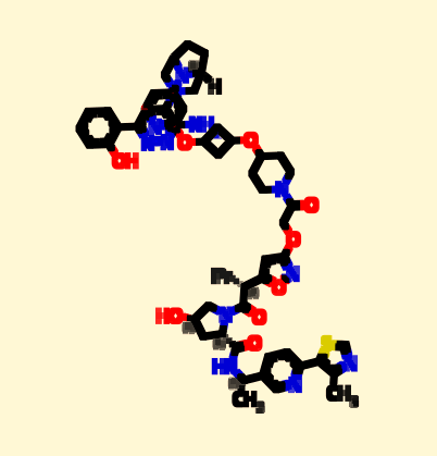 Cc1ncsc1-c1ccc([C@H](C)NC(=O)[C@@H]2C[C@@H](O)CN2C(=O)[C@@H](c2cc(OCC(=O)N3CCC(OC4CC(Oc5cc(N6C7CC[C@@H]6CN(c6cc(-c8ccccc8O)nnc6N)C7)ccn5)C4)CC3)no2)C(C)C)cn1